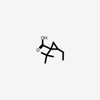 CCC1CC1(C(=O)O)C(C)(C)C